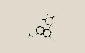 CN1C(=N)N[C@](C)(c2cccc(C#N)c2)[C@H](c2ccc(OC(F)F)cc2)C1=O